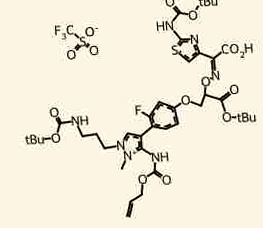 C=CCOC(=O)Nc1c(-c2ccc(OCC(ON=C(C(=O)O)c3csc(NC(=O)OC(C)(C)C)n3)C(=O)OC(C)(C)C)cc2F)cn(CCCNC(=O)OC(C)(C)C)[n+]1C.O=S(=O)([O-])C(F)(F)F